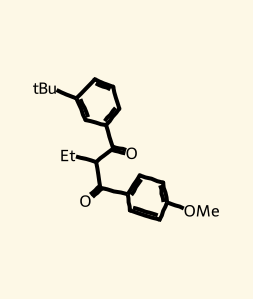 CCC(C(=O)c1ccc(OC)cc1)C(=O)c1cccc(C(C)(C)C)c1